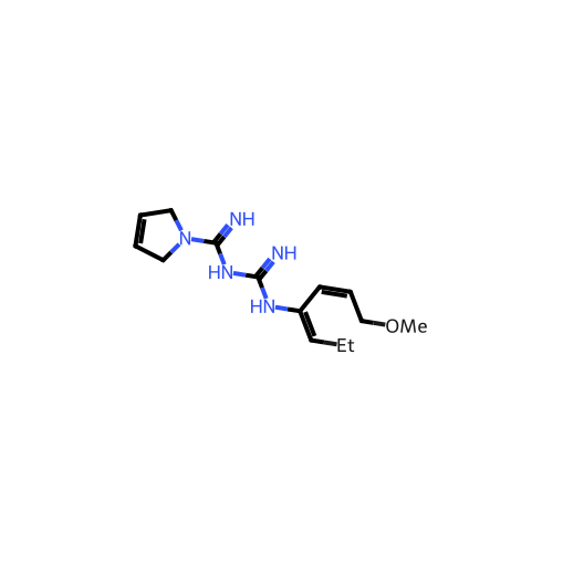 CC/C=C(\C=C/COC)NC(=N)NC(=N)N1CC=CC1